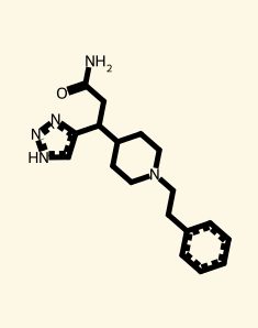 NC(=O)CC(c1c[nH]nn1)C1CCN(CCc2ccccc2)CC1